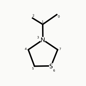 CC(C)N1CCSC1